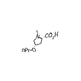 CCCO[C@H]1C[C@@H](C(=O)O)N(C)C1